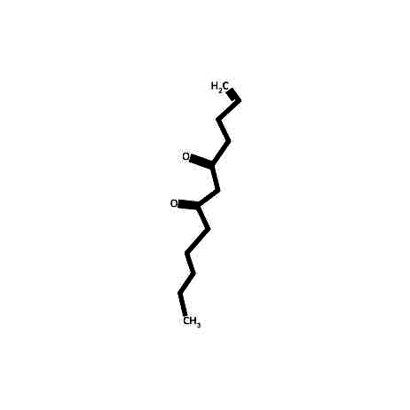 C=CCCC(=O)CC(=O)CCCCC